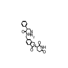 NCC(C(=O)NCc1ccc2c(c1)CN(C1CCC(=O)NC1=O)C2=O)c1ccccc1